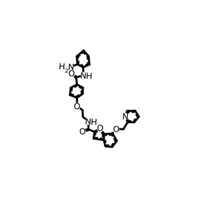 Nc1ccccc1NC(=O)c1ccc(OCCNC(=O)c2cc3cccc(OCc4ccccn4)c3o2)cc1